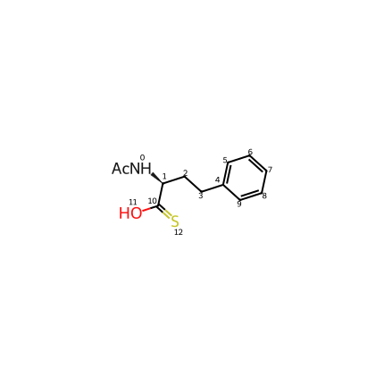 CC(=O)N[C@@H](CCc1ccccc1)C(O)=S